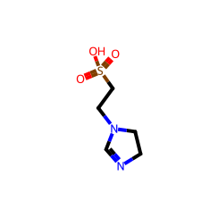 O=S(=O)(O)CCN1C=NCC1